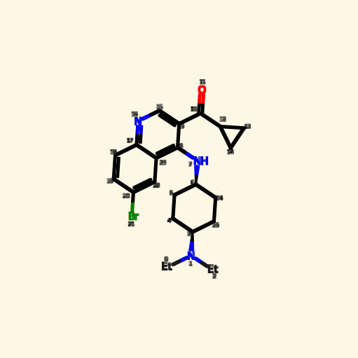 CCN(CC)[C@H]1CC[C@@H](Nc2c(C(=O)C3CC3)cnc3ccc(Br)cc23)CC1